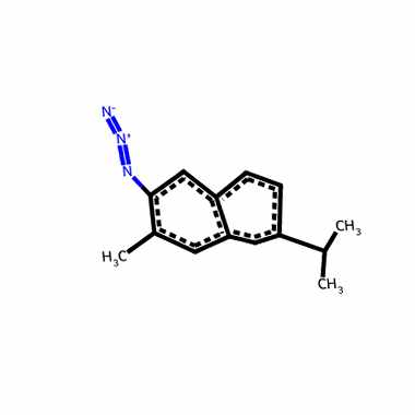 Cc1cc2cc(C(C)C)ccc2cc1N=[N+]=[N-]